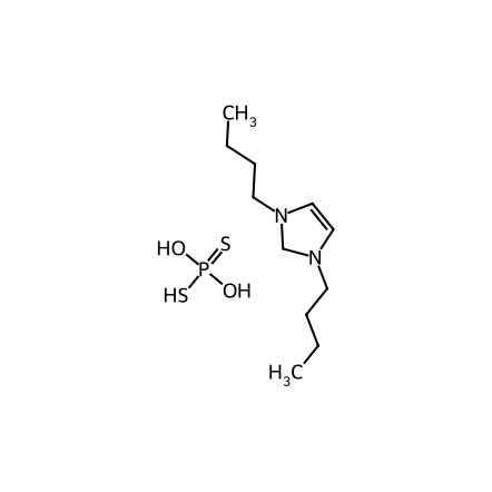 CCCCN1C=CN(CCCC)C1.OP(O)(=S)S